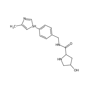 CC1=C[SH](c2ccc(CNC(=O)C3CC(O)CN3)cc2)C=N1